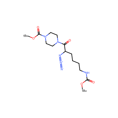 CC(C)(C)OC(=O)NCCCCC(N=[N+]=[N-])C(=O)N1CCN(C(=O)OC(C)(C)C)CC1